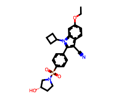 CCOc1ccc2c(C#N)c(-c3ccc(S(=O)(=O)N4CC[C@H](O)C4)cc3)n(C3CCC3)c2c1